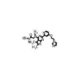 Cc1sc2nc(-c3cc(OCCn4ccnc4)ccn3)nc(N(C)CC(=O)NC(C)(C)C)c2c1C